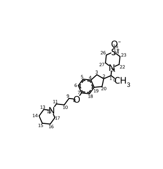 CC(C1Cc2ccc(OCCCN3CCCCC3)cc2C1)N1CC[S+]([O-])CC1